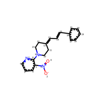 O=[N+]([O-])c1cccnc1N1CCC(=CC=Cc2ccccc2)CC1